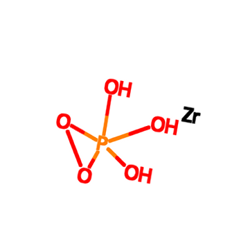 OP1(O)(O)OO1.[Zr]